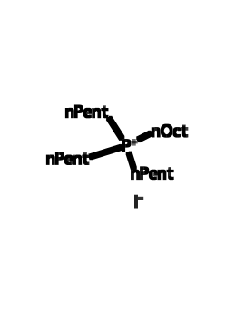 CCCCCCCC[P+](CCCCC)(CCCCC)CCCCC.[I-]